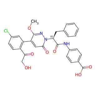 COc1nn([C@@H](Cc2ccccc2)C(=O)Nc2ccc(C(=O)O)cc2)c(=O)cc1-c1cc(Cl)ccc1C(=O)CO